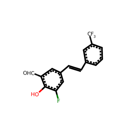 O=Cc1cc(/C=C/c2cccc(C(F)(F)F)c2)cc(F)c1O